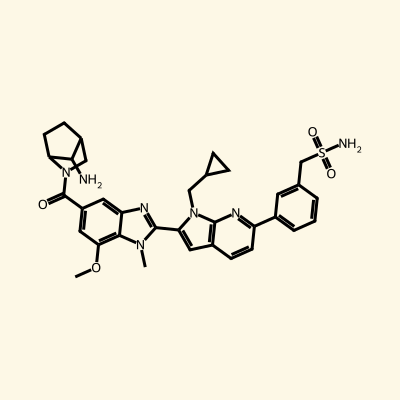 COc1cc(C(=O)N2CC3CCC2C3N)cc2nc(-c3cc4ccc(-c5cccc(CS(N)(=O)=O)c5)nc4n3CC3CC3)n(C)c12